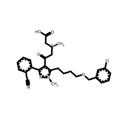 C[C@H](CC(=O)O)CC(=O)c1c(-c2ccccc2C#N)nn(C)c1CCCCOCc1cccc(Cl)c1